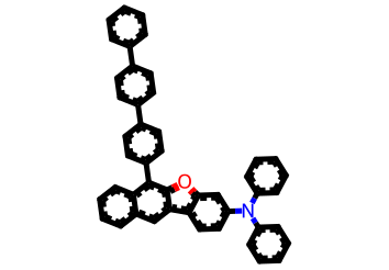 c1ccc(-c2ccc(-c3ccc(-c4c5ccccc5cc5c4oc4cc(N(c6ccccc6)c6ccccc6)ccc45)cc3)cc2)cc1